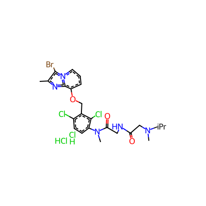 Cc1nc2c(OCc3c(Cl)ccc(N(C)C(=O)CNC(=O)CN(C)C(C)C)c3Cl)cccn2c1Br.Cl.Cl